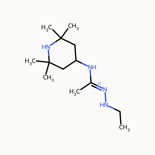 CCN/N=C(\C)NC1CC(C)(C)NC(C)(C)C1